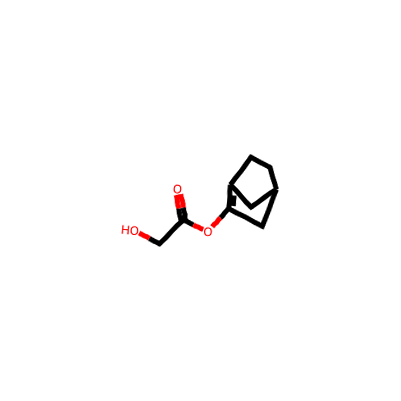 O=C(CO)OC1=C2CCC(C2)C1